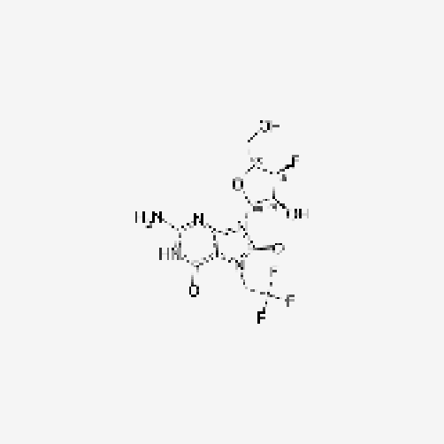 Nc1nc2c(c(=O)[nH]1)n(CC(F)(F)F)c(=O)n2[C@@H]1O[C@H](CO)[C@@H](F)[C@H]1O